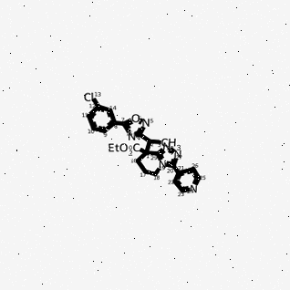 CCOC(=O)C1(C(C)c2noc(-c3cccc(Cl)c3)n2)CCCn2c(-c3ccncc3)nnc21